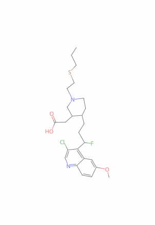 CCCSCCN1CCC(CCC(F)c2c(Cl)cnc3ccc(OC)cc23)C(CC(=O)O)C1